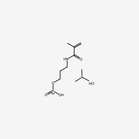 C=C(C)C(=O)NCCCO[PH](=O)O.CN(C)C.Cl